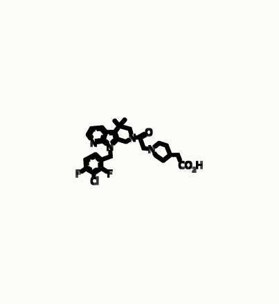 CC1(C)CN(C(=O)CN2CCC(CC(=O)O)CC2)Cc2c1c1cccnc1n2Cc1ccc(F)c(Cl)c1F